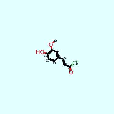 COc1cc(C=CC(=O)Cl)ccc1O